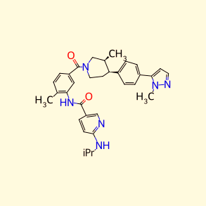 Cc1ccc(C(=O)N2CC[C@H](c3ccc(-c4ccnn4C)cc3)[C@H](C)C2)cc1NC(=O)c1ccc(NC(C)C)nc1